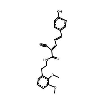 COc1cccc(CCNC(=O)/C(C#N)=C/C=C/c2ccc(O)cc2)c1OC